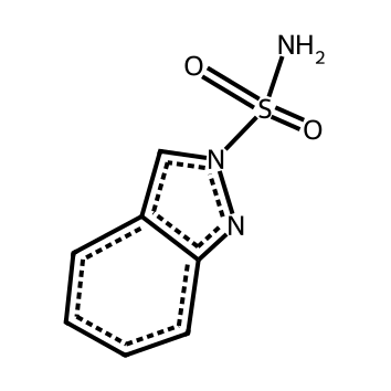 NS(=O)(=O)n1cc2ccccc2n1